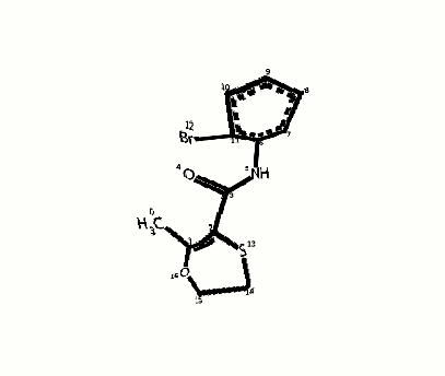 CC1=C(C(=O)Nc2ccccc2Br)SCCO1